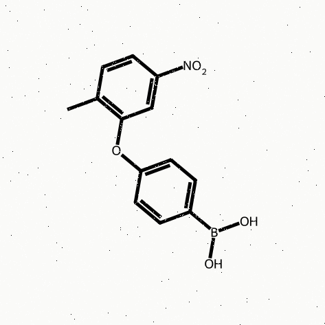 Cc1ccc([N+](=O)[O-])cc1Oc1ccc(B(O)O)cc1